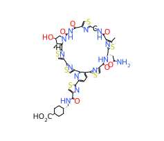 Cc1sc2nc1C(=O)NCc1nc(cs1)C(=O)NC(=O)N1C[C@H](O)[C@H](C)[C@H]1c1nc(cs1)-c1nc(cs1)-c1nc(-c3nc(C(=O)NC[C@H]4CC[C@H](C(=O)O)CC4)cs3)ccc1-c1nc(cs1)C(=O)N[C@H]2CC(N)=O